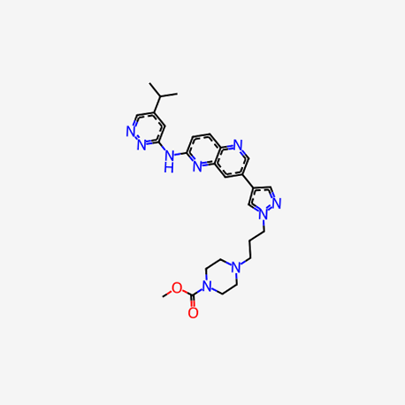 COC(=O)N1CCN(CCCn2cc(-c3cnc4ccc(Nc5cc(C(C)C)cnn5)nc4c3)cn2)CC1